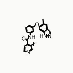 Cc1cc2cn[nH]c2cc1Oc1cccc(NC(=O)c2ccncc2F)c1